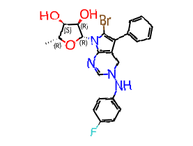 C[C@H]1O[C@@H](n2c(Br)c(-c3ccccc3)c3c2N=CN(Nc2ccc(F)cc2)C3)[C@H](O)[C@@H]1O